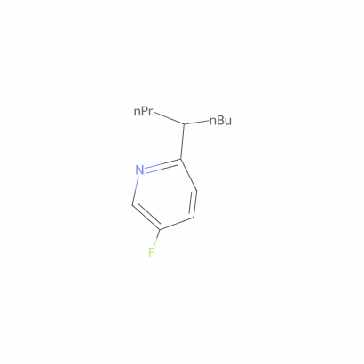 CCCCC(CCC)c1ccc(F)cn1